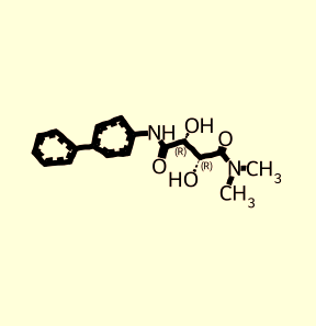 CN(C)C(=O)[C@H](O)[C@@H](O)C(=O)Nc1ccc(-c2ccccc2)cc1